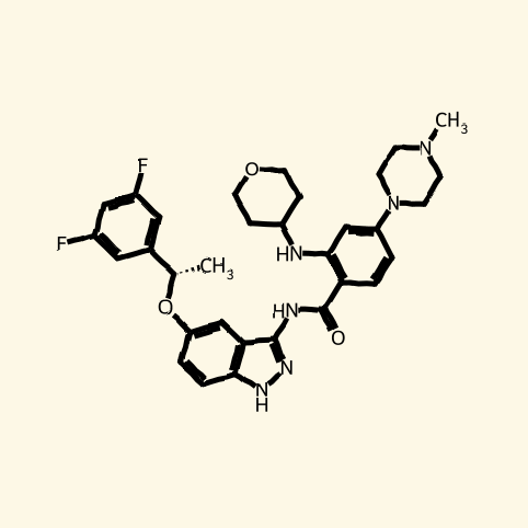 C[C@H](Oc1ccc2[nH]nc(NC(=O)c3ccc(N4CCN(C)CC4)cc3NC3CCOCC3)c2c1)c1cc(F)cc(F)c1